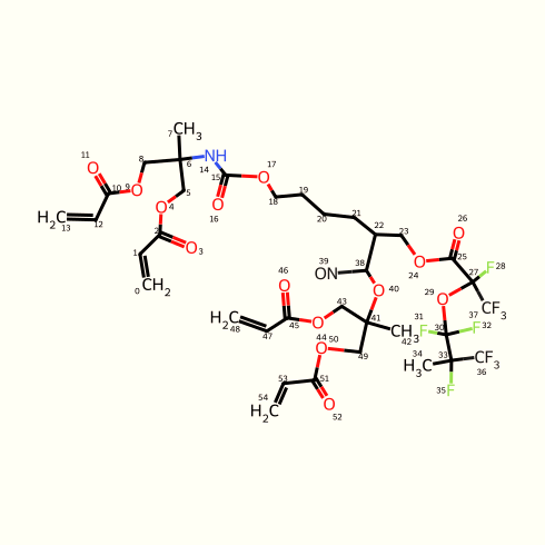 C=CC(=O)OCC(C)(COC(=O)C=C)NC(=O)OCCCCC(COC(=O)C(F)(OC(F)(F)C(C)(F)C(F)(F)F)C(F)(F)F)C(N=O)OC(C)(COC(=O)C=C)COC(=O)C=C